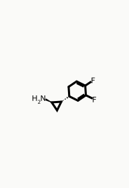 N[C@@H]1C[C@H]1C1C=C(F)C(F)=CC1